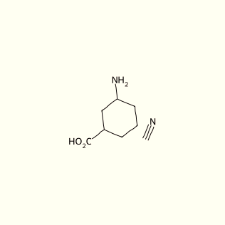 C#N.NC1CCCC(C(=O)O)C1